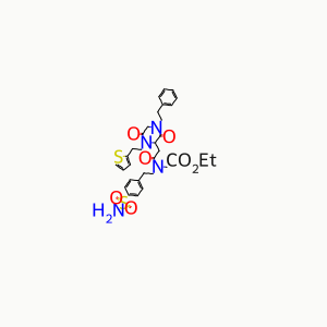 CCOC(=O)CN(CCc1ccc(S(N)(=O)=O)cc1)C(=O)CC1C(=O)N(CCc2ccccc2)CC(=O)N1CCc1cccs1